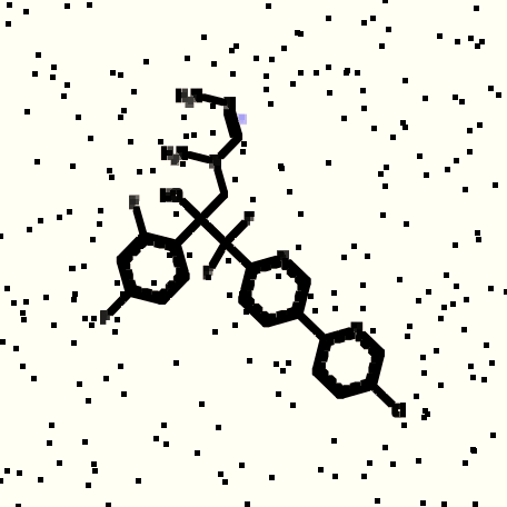 N/N=C\N(N)CC(O)(c1ccc(F)cc1F)C(F)(F)c1ccc(-c2ccc(Cl)cn2)cn1